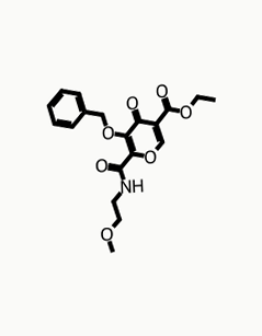 CCOC(=O)c1coc(C(=O)NCCOC)c(OCc2ccccc2)c1=O